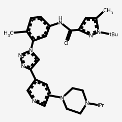 Cc1ccc(NC(=O)c2cc(C)n(C(C)(C)C)n2)cc1-n1cc(-c2cncc(N3CCN(C(C)C)CC3)c2)nn1